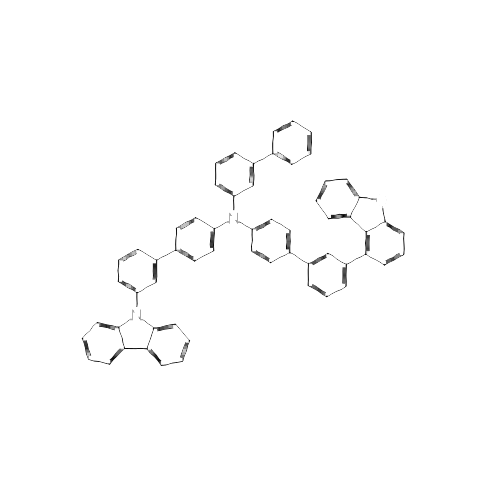 c1ccc(-c2cccc(N(c3ccc(-c4cccc(-c5cccc6oc7ccccc7c56)c4)cc3)c3ccc(-c4cccc(-n5c6ccccc6c6ccccc65)c4)cc3)c2)cc1